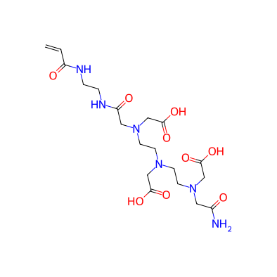 C=CC(=O)NCCNC(=O)CN(CCN(CCN(CC(N)=O)CC(=O)O)CC(=O)O)CC(=O)O